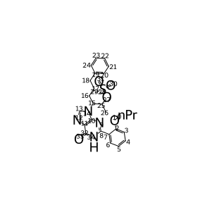 CCCOc1ccccc1-c1nc2c(ncn2C(CCCc2ccccc2)C(C)OS(C)(=O)=O)c(=O)[nH]1